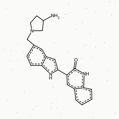 NC1CCN(Cc2ccc3[nH]c(-c4cc5ccccc5[nH]c4=O)cc3c2)C1